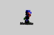 COC1(OC)CCN(c2ccc(N3CC(CN)OC3=O)cc2F)C[C@@H]1F